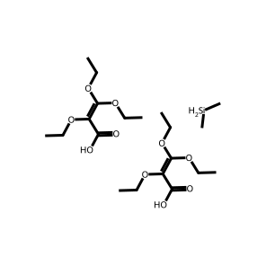 CCOC(OCC)=C(OCC)C(=O)O.CCOC(OCC)=C(OCC)C(=O)O.C[SiH2]C